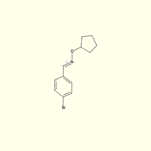 Brc1ccc(/[C]=N/OC2CCCC2)cc1